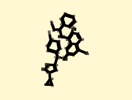 N#Cc1cnc2c(Cl)cc(N[C@H](C3=CN(C4CC4)NN3)c3ccc(F)cc3)cc2c1NC(CF)c1ccccc1